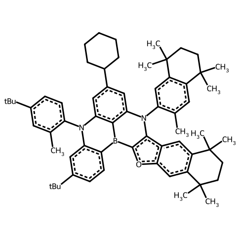 Cc1cc(C(C)(C)C)ccc1N1c2cc(C(C)(C)C)ccc2B2c3oc4cc5c(cc4c3N(c3cc4c(cc3C)C(C)(C)CCC4(C)C)c3cc(C4CCCCC4)cc1c32)C(C)(C)CCC5(C)C